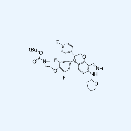 CC(C)(C)OC(=O)N1CC(Oc2c(F)cc(N3c4ccc(NC5CCCCO5)c(C=N)c4OC[C@H]3c3ccc(F)cc3)cc2F)C1